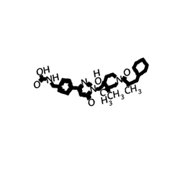 CC(CC1CCCCC1)C(=O)N1CCC(O)(Cn2cnc(-c3ccc(CNC(=O)O)cc3)cc2=O)C(C)(C)C1